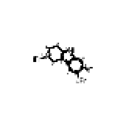 CC(C)c1cc2c3c([nH]c2cc1F)CCN(C(C)C)C3